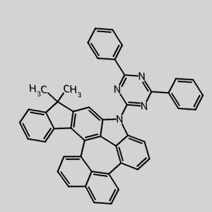 CC1(C)c2ccccc2-c2c1cc1c3c2-c2cccc4cccc(c24)-c2cccc(c23)n1-c1nc(-c2ccccc2)nc(-c2ccccc2)n1